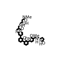 CNC(=O)C[C@@H](O)CNCc1cnc2cc(-c3cccc(-c4cccc(-c5ccc(CNC[C@@H]6CCC(=O)N6)c(OC)n5)c4Cl)c3Cl)ccn2c1=O